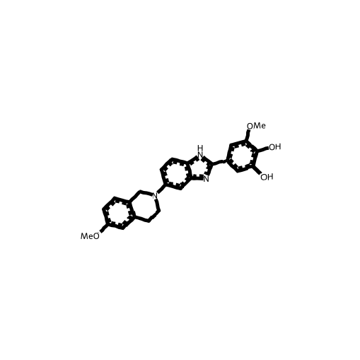 COc1ccc2c(c1)CCN(c1ccc3[nH]c(-c4cc(O)c(O)c(OC)c4)nc3c1)C2